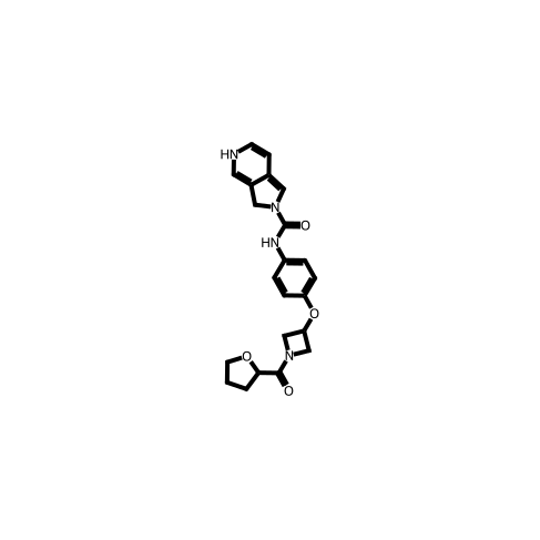 O=C(Nc1ccc(OC2CN(C(=O)C3CCCO3)C2)cc1)N1C=C2C=CNC=C2C1